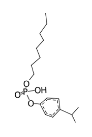 CCCCCCCCOP(=O)(O)Oc1ccc(C(C)C)cc1